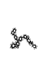 c1ccc(-c2nc3cc4oc5ccc(-c6ccc(N(c7ccc(-c8cccc9ccccc89)cc7)c7ccc8oc9ccccc9c8c7)cc6)cc5c4cc3o2)cc1